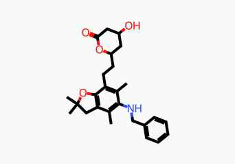 Cc1c(CCC2CC(O)CC(=O)O2)c2c(c(C)c1NCc1ccccc1)CC(C)(C)O2